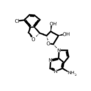 Nc1ncnc2c1ccn2[C@@H]1O[C@H]([C@@H]2OCc3c(Cl)cccc32)[C@@H](O)[C@H]1O